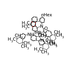 CCCCCCc1ccc(N2c3oc4cc5c(cc4c3Bc3c(-c4c(Nc6ccc7c(c6)C(C)(C)CCC7(C)C)ccc6c4C(C)(C)c4cc7c(cc4-6)C(C)(C)CCC7(C)C)cc4c(c32)-c2ccccc2C4(C)C)C(C)(C)CCC5(C)C)c(-c2ccccc2)c1